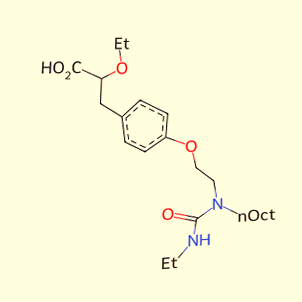 CCCCCCCCN(CCOc1ccc(CC(OCC)C(=O)O)cc1)C(=O)NCC